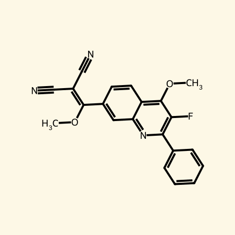 COC(=C(C#N)C#N)c1ccc2c(OC)c(F)c(-c3ccccc3)nc2c1